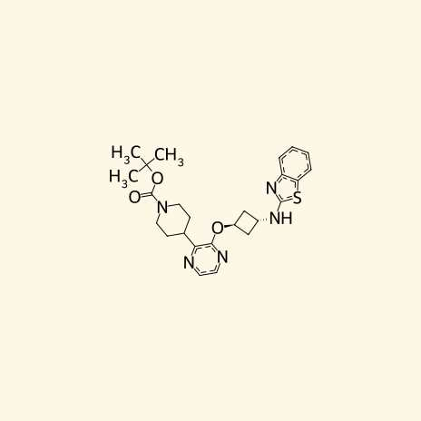 CC(C)(C)OC(=O)N1CCC(c2nccnc2O[C@H]2C[C@H](Nc3nc4ccccc4s3)C2)CC1